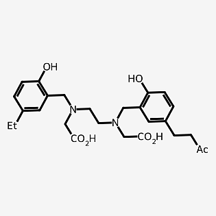 CCc1ccc(O)c(CN(CCN(CC(=O)O)Cc2cc(CCC(C)=O)ccc2O)CC(=O)O)c1